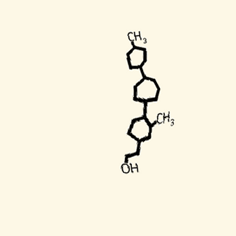 CC1CCC(C2CCCC(C3CCC(CCO)CC3C)CC2)CC1